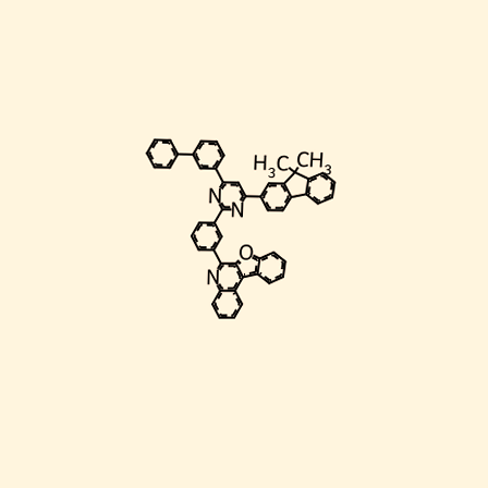 CC1(C)c2ccccc2-c2ccc(-c3cc(-c4cccc(-c5ccccc5)c4)nc(-c4cccc(-c5nc6ccccc6c6c5oc5ccccc56)c4)n3)cc21